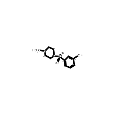 O=C(O)N1CCN(S(=O)(=O)c2cccc(Cl)c2)CC1